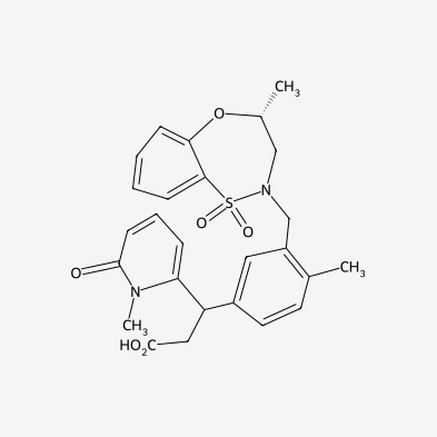 Cc1ccc(C(CC(=O)O)c2cccc(=O)n2C)cc1CN1C[C@@H](C)Oc2ccccc2S1(=O)=O